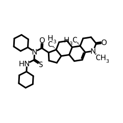 CN1C(=O)CC[C@@]2(C)C1=CCC1C3CCC(C(=O)N(C(=S)NC4CCCCC4)C4CCCCC4)[C@@]3(C)CCC12